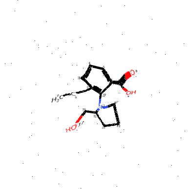 CCc1cccc(C(=O)O)c1N1CCCC1CO